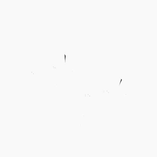 COC(=O)[C@H](Cc1ccccc1)NC(=O)[C@@H](N)CC(=O)O.COC(=O)[C@H](Cc1ccccc1)NC(=O)[C@@H](N)CC(=O)O